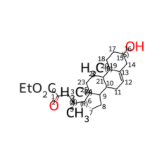 CCOC(=O)C(=O)C[C@@H](C)[C@H]1CCC2C3CC=C4C[C@@H](O)CC[C@]4(C)C3CC[C@@]21C